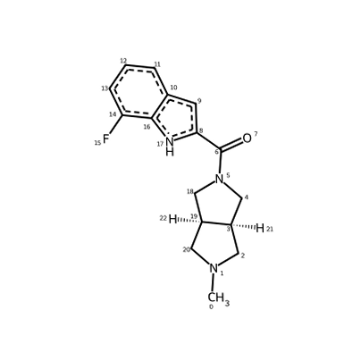 CN1C[C@@H]2CN(C(=O)c3cc4cccc(F)c4[nH]3)C[C@@H]2C1